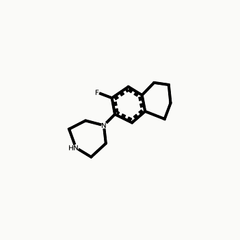 Fc1cc2c(cc1N1CCNCC1)CCCC2